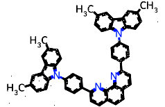 Cc1ccc2c(c1)c1cc(C)ccc1n2-c1ccc(-c2ccc3ccc4ccc(-c5ccc(-n6c7ccc(C)cc7c7cc(C)ccc76)cc5)nc4c3n2)cc1